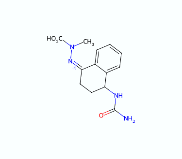 CN(/N=C1/CCC(NC(N)=O)c2ccccc21)C(=O)O